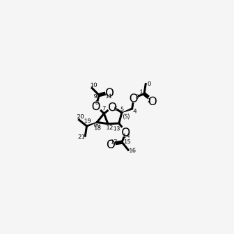 CC(=O)OC[C@@H]1OC2(OC(C)=O)C(C1OC(C)=O)[C@H]2C(C)C